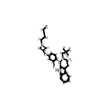 C[C@@H]1Cc2c([nH]c3ccccc23)[C@@H](c2ccc(OC3CN(CCCF)C3)cc2F)N1CC(C)(C)F